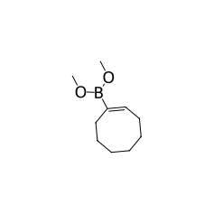 COB(OC)C1=CCCCCCC1